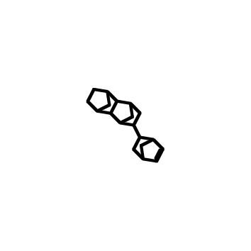 C1=CC2CC1CC2C1CC2CC1C1C3CCC(C3)C21